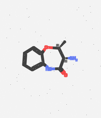 C[C@H]1Oc2ccccc2NC(=O)[C@H]1N